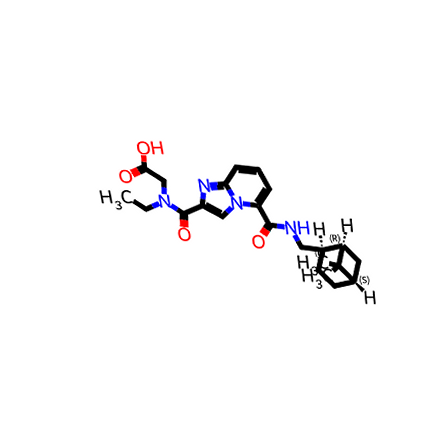 CCN(CC(=O)O)C(=O)c1cn2c(C(=O)NC[C@@H]3CC[C@H]4C[C@H]3C4(C)C)cccc2n1